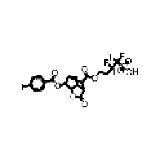 O=C(OC1C2CC3C1OC(=O)C3C2C(=O)OCCC(F)(F)C(F)(F)S(=O)(=O)O)c1ccc(I)cc1